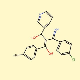 CCCCc1ccc(/C(O)=C(/C(=N)c2ccc(Cl)cc2)C(O)c2cccnc2)cc1